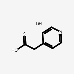 OC(=S)Cc1ccncc1.[LiH]